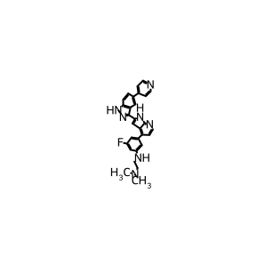 CN(C)CCNc1cc(F)cc(-c2ccnc3[nH]c(-c4n[nH]c5ccc(-c6ccncc6)cc45)cc23)c1